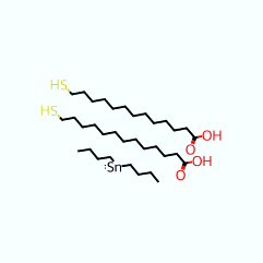 CCC[CH2][Sn][CH2]CCC.O=C(O)CCCCCCCCCCCCS.O=C(O)CCCCCCCCCCCCS